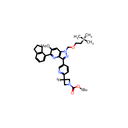 [2H]C1(c2ccc(-c3nn(COCC[Si](C)(C)C)c4cc(OC)c(-c5cccc6c5CCC6)nc34)cn2)CN(C(=O)OC(C)(C)C)C1